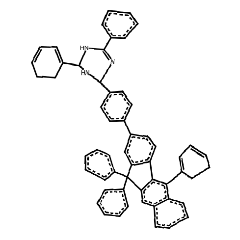 C1=CCCC(c2c3c(cc4ccccc24)C(c2ccccc2)(c2ccccc2)c2cc(-c4ccc(C5N=C(c6ccccc6)NC(C6=CC=CCC6)N5)cc4)ccc2-3)=C1